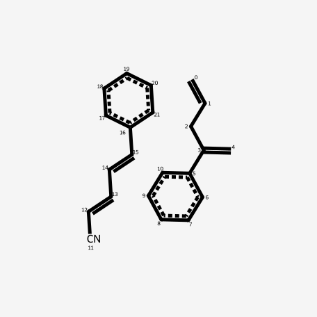 C=CCC(=C)c1ccccc1.N#CC=CC=Cc1ccccc1